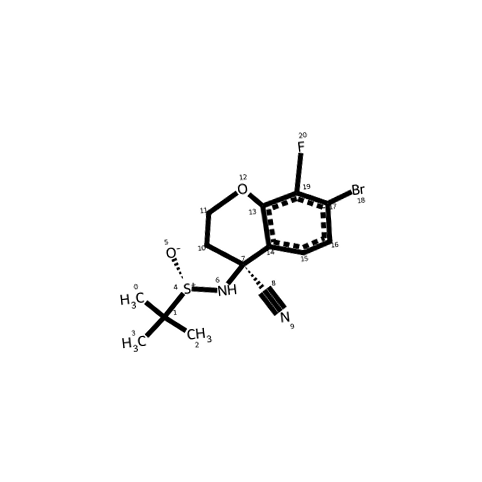 CC(C)(C)[S@+]([O-])N[C@@]1(C#N)CCOc2c1ccc(Br)c2F